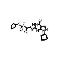 O=C(CSc1nc2c(cnn2-c2ccccc2)c(=O)[nH]1)NC(=O)NC1CCCC1